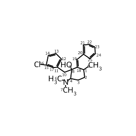 CC1CCC(N(C)C)C(O)(Cc2cccc(Cl)c2)C1=Cc1ccccc1